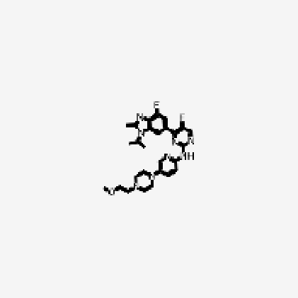 COCCN1CCN(c2ccc(Nc3ncc(F)c(-c4cc(F)c5nc(C)n(C(C)C)c5c4)n3)nc2)CC1